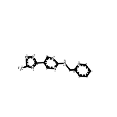 FC(F)(F)c1nc(-c2cnc(NCc3ccccn3)nc2)no1